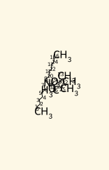 CCCCCCCCN(CCCCCCCC)C(=O)OC(C(C)C)C(C)C